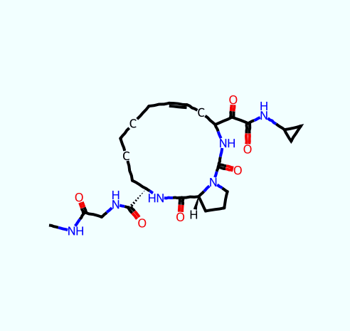 CNC(=O)CNC(=O)[C@@H]1CCCCC/C=C\CC(C(=O)C(=O)NC2CC2)NC(=O)N2CCC[C@@H]2C(=O)N1